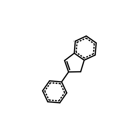 [c]1cccc2c1C=C(c1ccccc1)C2